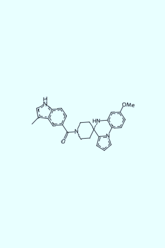 COc1ccc2c(c1)NC1(CCN(C(=O)c3ccc4[nH]cc(C)c4c3)CC1)c1cccn1-2